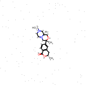 C[C@H]1Cc2cc([C@]3(C)CN4CCN(C(=O)O)C[C@H]4CO3)ccc2C(=O)O1